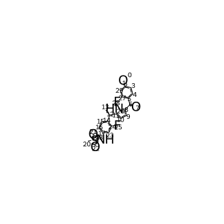 COc1ccc(C(=O)c2ccc(C(C)c3ccc(NS(C)(=O)=O)cc3F)[nH]2)c(F)c1